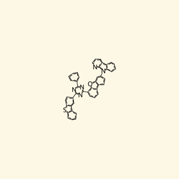 c1ccc(-c2nc(-c3ccc4sc5ccccc5c4c3)nc(-c3cccc4c3oc3cc(-n5c6ccccc6c6cccnc65)ccc34)n2)cc1